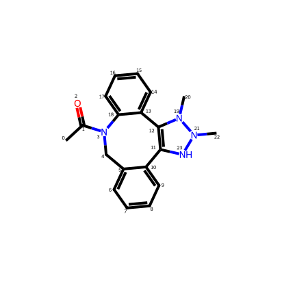 CC(=O)N1Cc2ccccc2C2=C(c3ccccc31)N(C)N(C)N2